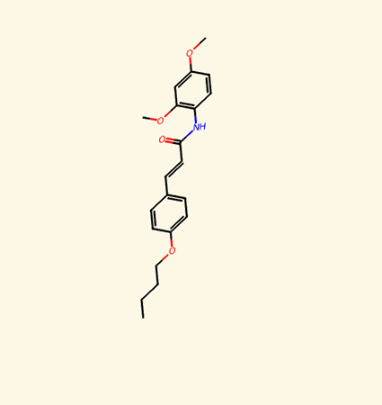 CCCCOc1ccc(/C=C/C(=O)Nc2ccc(OC)cc2OC)cc1